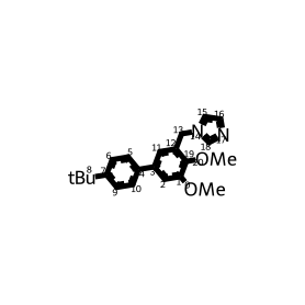 COc1cc(-c2ccc(C(C)(C)C)cc2)cc(Cn2ccnc2)c1OC